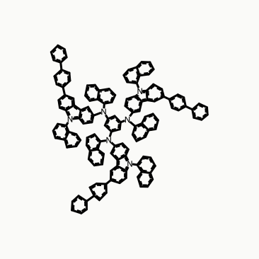 c1ccc(-c2ccc(-c3ccc4c(c3)c3cc(N(c5cc(N(c6ccc7c(c6)c6cc(-c8ccc(-c9ccccc9)cc8)ccc6n7-c6cccc7ccccc67)c6cccc7ccccc67)cc(N(c6ccc7c(c6)c6cc(-c8ccc(-c9ccccc9)cc8)ccc6n7-c6cccc7ccccc67)c6cccc7ccccc67)c5)c5cccc6ccccc56)ccc3n4-c3cccc4ccccc34)cc2)cc1